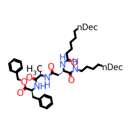 CCCCCCCCCCCCCCCC(=O)N[C@@H](CC(=O)N[C@@H](C)C(=O)N[C@@H](Cc1ccccc1)C(=O)OCc1ccccc1)C(=O)NCCCCCCCCCCCCCC